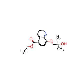 CCOC(=O)c1ccc(OCC(C)(C)O)c2ncccc12